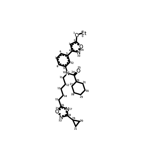 CCOc1cc(-c2cccc(N(CCCCCc3nc(C4CC4)no3)C(=O)C3CCCCC3)c2)no1